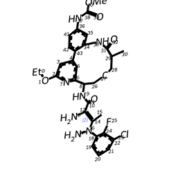 CCOc1cc2cc(n1)C(NC(=O)/C(N)=C(\C)N(N)c1cccc(Cl)c1F)CCCC(C)C(=O)Nc1cc(NC(=O)OC)ccc1-2